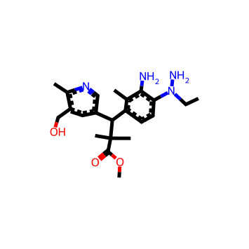 CCN(N)c1ccc(C(c2cnc(C)c(CO)c2)C(C)(C)C(=O)OC)c(C)c1N